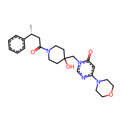 C[C@H](CC(=O)N1CCC(O)(Cn2cnc(N3CCOCC3)cc2=O)CC1)c1ccccc1